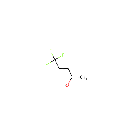 CC([O])C=CC(F)(F)F